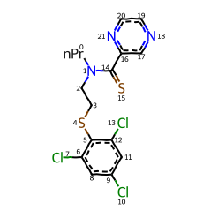 CCCN(CCSc1c(Cl)cc(Cl)cc1Cl)C(=S)c1cnccn1